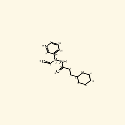 O=CN(NC(=O)CCC1CCCCC1)c1cccnc1